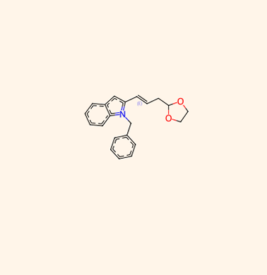 C(=C\c1cc2ccccc2n1Cc1ccccc1)/CC1OCCO1